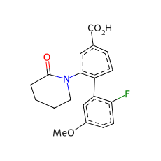 COc1ccc(F)c(-c2ccc(C(=O)O)cc2N2CCCCC2=O)c1